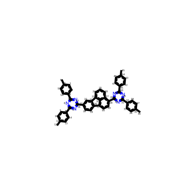 Cc1ccc(-c2nc(-c3ccc(C)cc3)nc(-c3ccc4c(c3)-c3cccc5c(-c6nc(-c7ccc(C)cc7)nc(-c7ccc(C)cc7)n6)ccc-4c35)n2)cc1